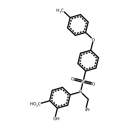 Cc1ccc(Oc2ccc(S(=O)(=O)N(CC(C)C)c3ccc(C(=O)O)c(O)c3)cc2)cc1